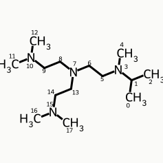 CC(C)N(C)CCN(CCN(C)C)CCN(C)C